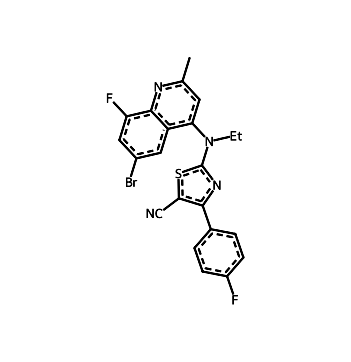 CCN(c1nc(-c2ccc(F)cc2)c(C#N)s1)c1cc(C)nc2c(F)cc(Br)cc12